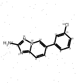 Nc1nc2ccc(-c3cccc(Cl)c3)cn2n1